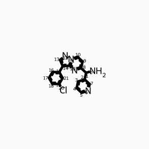 NC(c1cccnc1)c1ccn2ncc(-c3cccc(Cl)c3)c2n1